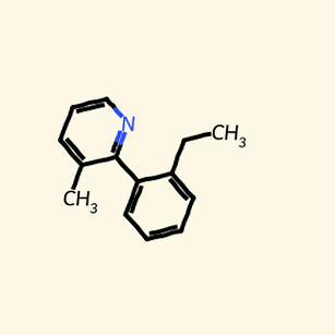 CCc1ccccc1-c1ncccc1C